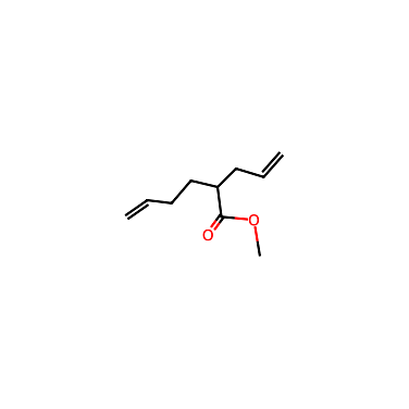 C=CCCC(CC=C)C(=O)OC